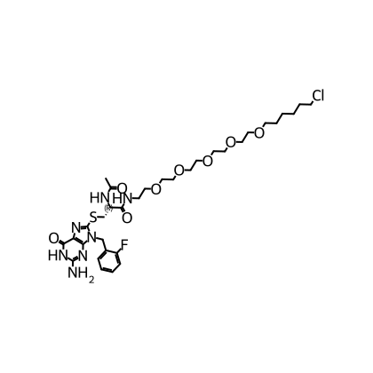 CC(=O)N[C@@H](CSc1nc2c(=O)[nH]c(N)nc2n1Cc1ccccc1F)C(=O)NCCOCCOCCOCCOCCOCCCCCCCl